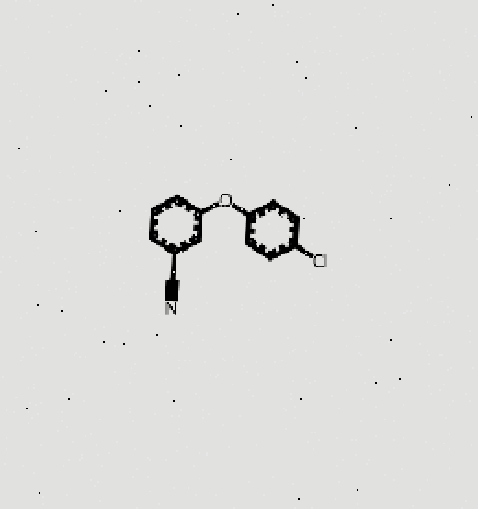 N#Cc1cccc(Oc2ccc(Cl)cc2)c1